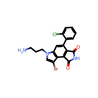 NCCCn1cc(Br)c2c3c(c(-c4ccccc4Cl)cc21)C(=O)NC3=O